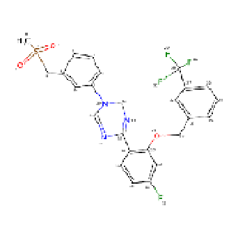 CS(=O)(=O)Cc1cccc(N2C=NC(c3ccc(F)cc3OCc3cccc(C(F)(F)F)c3)=NC2)c1